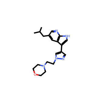 CC(C)Cc1cnc2[nH]cc(-c3cnn(CCN4CCOCC4)c3)c2c1